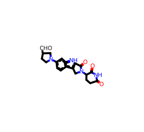 O=CC1CCN(c2ccc3c4c([nH]c3c2)C(=O)N(C2CCC(=O)NC2=O)C4)C1